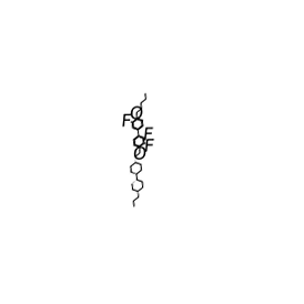 CCCCOc1ccc(-c2ccc(OC[C@H]3CC[C@H]([C@H]4CC[C@H](CCC)CC4)CC3)c(F)c2F)cc1F